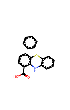 O=C(O)c1cccc2c1Nc1ccccc1S2.c1ccccc1